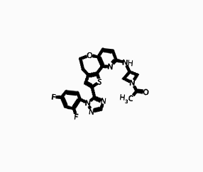 CC(=O)N1CC(Nc2ccc3c(n2)-c2sc(-c4ncnn4-c4ccc(F)cc4F)cc2CCO3)C1